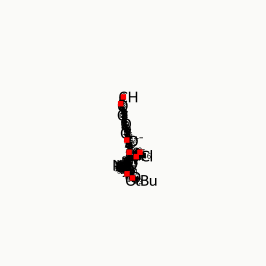 C#CCOCCOCCOCCOCC[S+]([O-])CCCn1c(CN2C(=O)C3(CCN(C(=O)OC(C)(C)C)CC3)c3ccncc32)nc2cc(Cl)ccc21